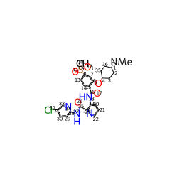 CNC1CCC(Oc2cc(S(C)(=O)=O)ccc2C(=O)Nc2cccnc2C(=O)Nc2ccc(Cl)cn2)CC1